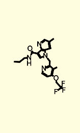 CCCNC(=O)c1cn(Cc2nccc(OCC(F)(F)F)c2C)c2cc(C)cnc12